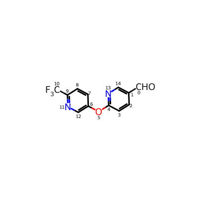 O=Cc1ccc(Oc2ccc(C(F)(F)F)nc2)nc1